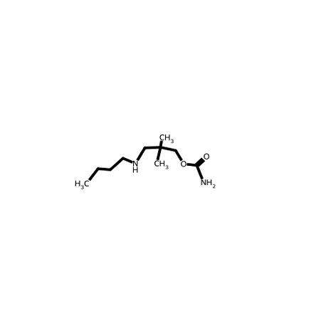 CCCCNCC(C)(C)COC(N)=O